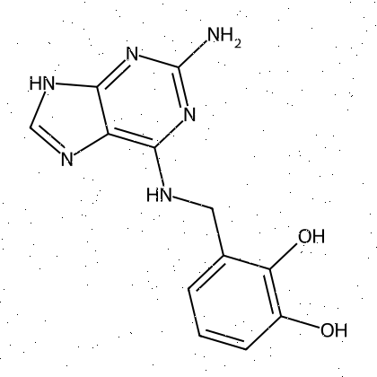 Nc1nc(NCc2cccc(O)c2O)c2nc[nH]c2n1